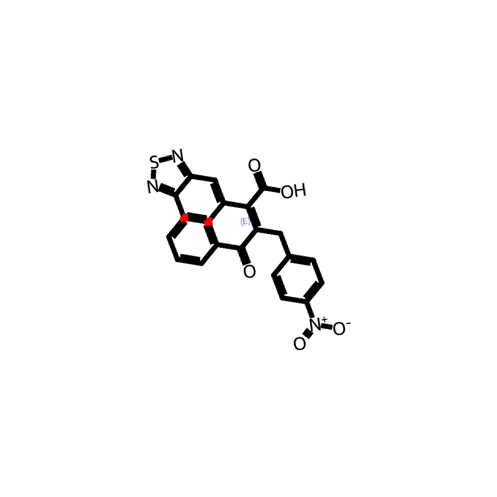 O=C(O)/C(=C(\Cc1ccc([N+](=O)[O-])cc1)C(=O)c1ccccc1)c1ccc2nsnc2c1